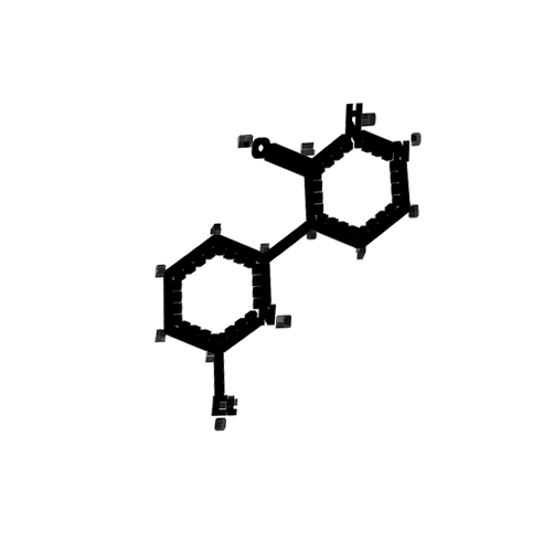 CCc1cccc(-c2ccn[nH]c2=O)n1